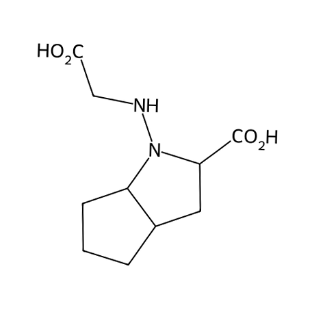 O=C(O)CNN1C(C(=O)O)CC2CCCC21